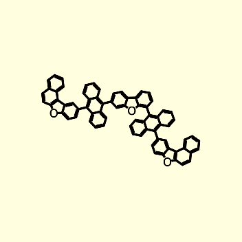 c1ccc2c(c1)ccc1oc3ccc(-c4c5ccccc5c(-c5ccc6c(c5)oc5c(-c7c8ccccc8c(-c8ccc9oc%10ccc%11ccccc%11c%10c9c8)c8ccccc78)cccc56)c5ccccc45)cc3c12